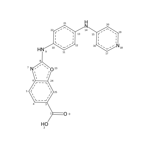 O=C(O)c1ccc2nc(Nc3ccc(Nc4ccncc4)cc3)oc2c1